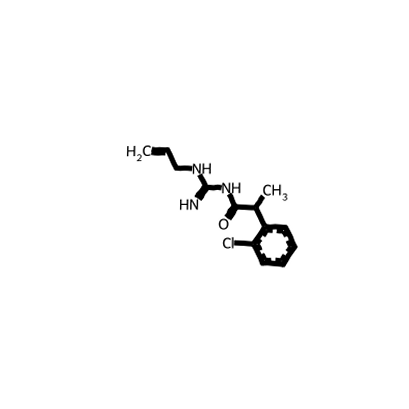 C=CCNC(=N)NC(=O)C(C)c1ccccc1Cl